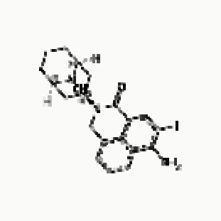 CN1[C@@H]2CCC[C@H]1C[C@@H](N1Cc3cccc4c(N)c(I)cc(c34)C1=O)C2